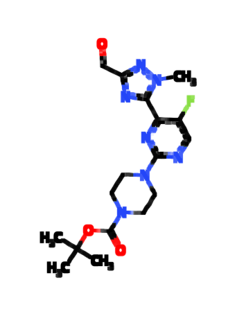 Cn1nc(C=O)nc1-c1nc(N2CCN(C(=O)OC(C)(C)C)CC2)ncc1F